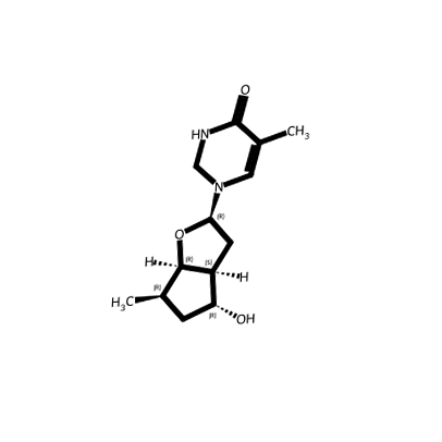 CC1=CN([C@H]2C[C@@H]3[C@H](O2)[C@H](C)C[C@H]3O)CNC1=O